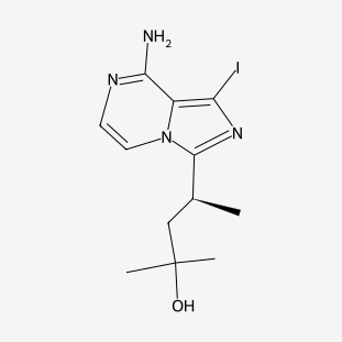 C[C@@H](CC(C)(C)O)c1nc(I)c2c(N)nccn12